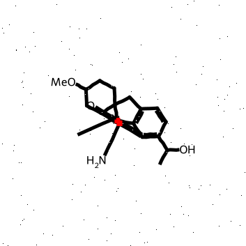 COC1CCC2(CC1)Cc1ccc(C(C)O)cc1C21N=C(N)N(C)C1=O